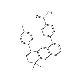 Cc1ccc(C2=CCC(C)(C)c3cc4cccc(-c5ccc(C(=O)O)cc5)c4cc32)cc1